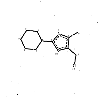 Cc1nc(C2CCCCC2)sc1CCl